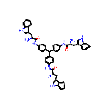 N[C@@H](Cc1c[nH]c2ccccc12)C(=O)Nc1ccc(C(c2ccc(NC(=O)[C@@H](N)Cc3c[nH]c4ccccc34)cc2)c2ccc(NC(=O)[C@@H](N)Cc3c[nH]c4ccccc34)cc2)cc1